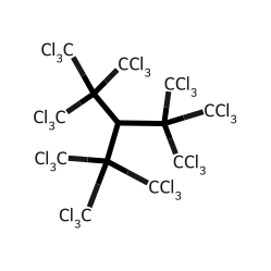 ClC(Cl)(Cl)C(C(C(C(Cl)(Cl)Cl)(C(Cl)(Cl)Cl)C(Cl)(Cl)Cl)C(C(Cl)(Cl)Cl)(C(Cl)(Cl)Cl)C(Cl)(Cl)Cl)(C(Cl)(Cl)Cl)C(Cl)(Cl)Cl